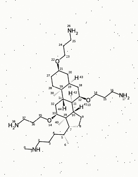 CNCCC[C@@H](C)[C@H]1CC[C@H]2[C@@H]3[C@H](OCCCN)C[C@@H]4C[C@H](OCCCN)CC[C@]4(C)[C@H]3C[C@H](OCCCN)[C@]12C